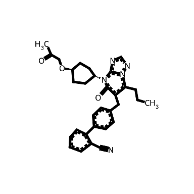 CCCc1c(Cc2ccc(-c3ccccc3C#N)cc2)c(=O)n([C@H]2CC[C@H](OCC(C)=O)CC2)c2ncnn12